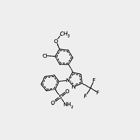 COc1ccc(-c2cc(C(F)(F)F)nn2-c2ccccc2S(N)(=O)=O)cc1Cl